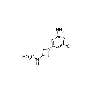 Nc1nc(Cl)cc(N2CC(NC(=O)O)C2)n1